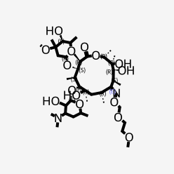 COCCOCO/N=C1\[C@H](C)C[C@@](C)(O)[C@H](O[C@@H]2OC(C)CC(N(C)C)C2O)[C@@H](C)[C@H](O[C@H]2CC(C)(OC)[C@@H](O)C(C)O2)[C@@H](C)C(=O)O[C@H](C)[C@@](C)(O)[C@H](O)[C@H]1C